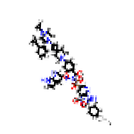 C[C@H]1CC[C@@H](CNc2ncc(S(=O)(=O)NC(=O)c3ccc(N4CCC5(CC4)CC(N4CCN(C6CC6)C[C@H]4c4ccccc4C4CC4)C5)cc3Oc3cnc4[nH]ccc4c3)cc2[N+](=O)[O-])CC1